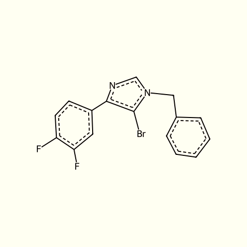 Fc1ccc(-c2ncn(Cc3ccccc3)c2Br)cc1F